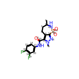 CC1CCc2c(nn(C)c2C(=O)Nc2ccc(F)c(F)c2)S(=O)(=O)N1